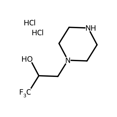 Cl.Cl.OC(CN1CCNCC1)C(F)(F)F